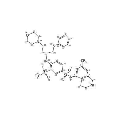 O=S(=O)(Nc1nc(C(F)(F)F)nc2c1CCNC2)c1ccc(N[C@H](CCN2CCOCC2)CSc2ccccc2)c(S(=O)(=O)C(F)(F)F)c1